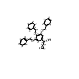 O[C@H](c1cc(OCc2ccccc2)c(OCc2ccccc2)c(OCc2ccccc2)c1)[C@H]1CO1